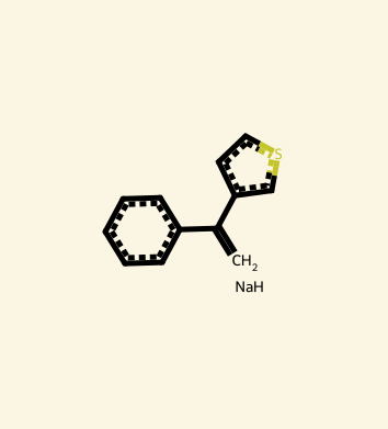 C=C(c1ccccc1)c1ccsc1.[NaH]